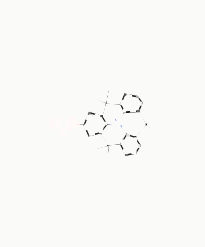 Bc1cc2c3c(c1)C(C)(C)c1cccc4c1N3c1c(cccc1C2(C)C)C4(C)C